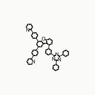 c1ccc(-c2nc(-c3ccccc3)nc(-c3cccc(-c4cccc5oc6c(-c7ccc(-c8ccccn8)cc7)cc(-c7ccc(-c8ccccn8)cc7)cc6c45)c3)n2)cc1